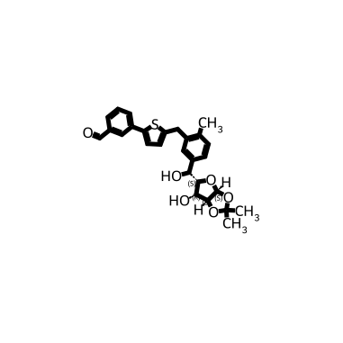 Cc1ccc(C(O)[C@@H]2O[C@H]3OC(C)(C)O[C@H]3[C@@H]2O)cc1Cc1ccc(-c2cccc(C=O)c2)s1